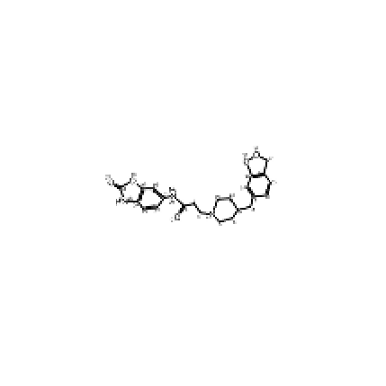 O=C(CCN1CCC(Cc2ccc3c(c2)OOC3)CC1)Nc1ccc2[nH]c(=O)oc2c1